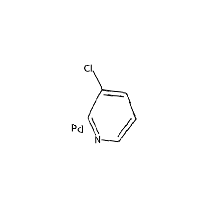 Clc1cccnc1.[Pd]